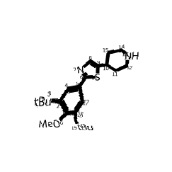 COc1c(C(C)(C)C)cc(-c2ncc(C3CCNCC3)s2)cc1C(C)(C)C